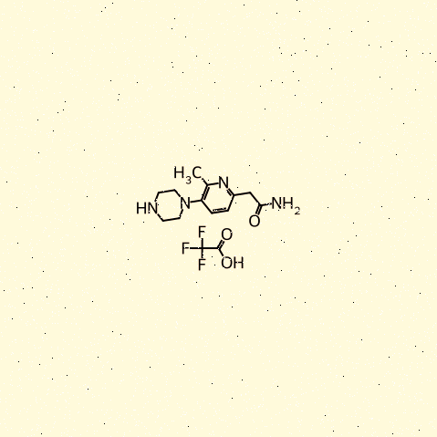 Cc1nc(CC(N)=O)ccc1N1CCNCC1.O=C(O)C(F)(F)F